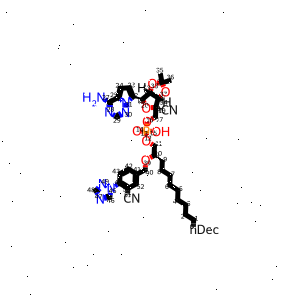 CCCCCCCCCCCCCCCCCCC[C@H](COP(=O)(O)OC[C@@]1(C#N)O[C@@H](c2ccc3c(N)ncnn23)[C@@H]2OC(C)(C)O[C@@H]21)OCc1ccc(-n2cncn2)c(C#N)c1